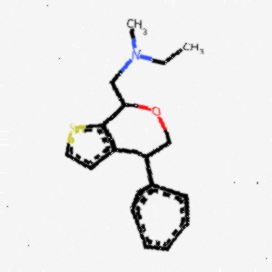 CCN(C)CC1OCC(c2ccccc2)c2ccsc21